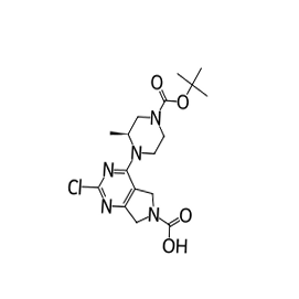 C[C@H]1CN(C(=O)OC(C)(C)C)CCN1c1nc(Cl)nc2c1CN(C(=O)O)C2